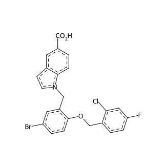 O=C(O)c1ccc2c(ccn2Cc2cc(Br)ccc2OCc2ccc(F)cc2Cl)c1